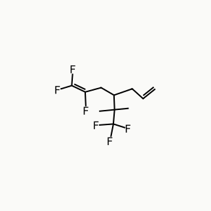 C=CCC(CC(F)=C(F)F)C(C)(C)C(F)(F)F